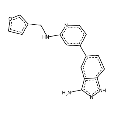 Nc1n[nH]c2ccc(-c3ccnc(NCc4ccoc4)c3)cc12